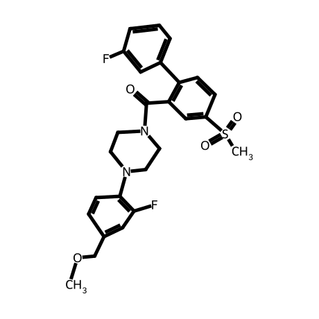 COCc1ccc(N2CCN(C(=O)c3cc(S(C)(=O)=O)ccc3-c3cccc(F)c3)CC2)c(F)c1